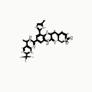 Cc1cnc(-c2cc(C(=O)NC(C)c3cnc(C(F)(F)F)nc3)cc3c2OC(CC2CCS(=O)(=O)CC2)C(=O)N3)s1